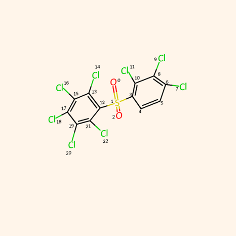 O=S(=O)(c1ccc(Cl)c(Cl)c1Cl)c1c(Cl)c(Cl)c(Cl)c(Cl)c1Cl